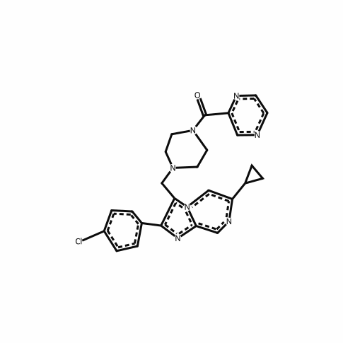 O=C(c1cnccn1)N1CCN(Cc2c(-c3ccc(Cl)cc3)nc3cnc(C4CC4)cn23)CC1